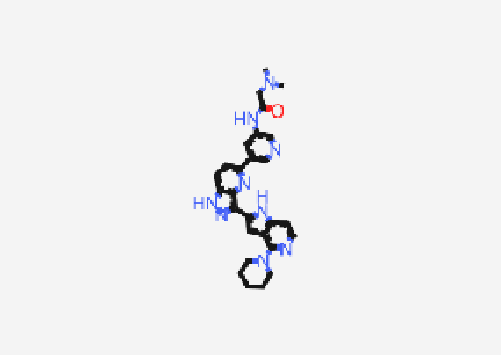 CN(C)CC(=O)Nc1cncc(-c2ccc3[nH]nc(-c4cc5c(N6CCCCC6)nccc5[nH]4)c3n2)c1